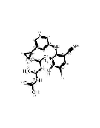 CC(C)[C@H](Nc1nc(Nc2cncc(C3CC3)c2)c(C#N)cc1F)[C@H](C)NC(=O)O